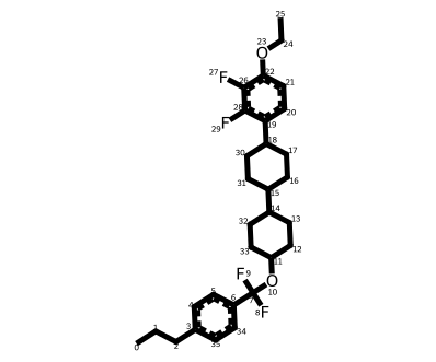 CCCc1ccc(C(F)(F)OC2CCC(C3CCC(c4ccc(OCC)c(F)c4F)CC3)CC2)cc1